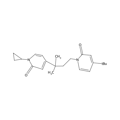 CC(C)(C)c1ccn(CCC(C)(C)c2ccn(C3CC3)c(=O)c2)c(=O)c1